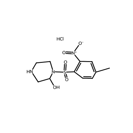 Cc1ccc(S(=O)(=O)N2CCNCC2O)c([N+](=O)[O-])c1.Cl